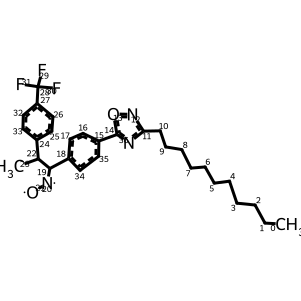 CCCCCCCCCCCc1noc(-c2ccc(C([N][O])C(C)c3ccc(C(F)(F)F)cc3)cc2)n1